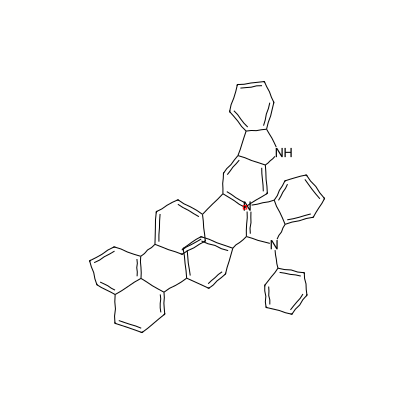 c1ccc(-n2c(-c3ccc(-c4cccc5cccc(-c6ccc(-c7ccc8[nH]c9ccccc9c8c7)cc6)c45)cc3)nc3ccccc32)cc1